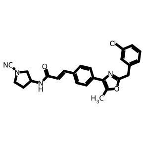 Cc1oc(Cc2cccc(Cl)c2)nc1-c1ccc(/C=C/C(=O)NC2CCN(C#N)C2)cc1